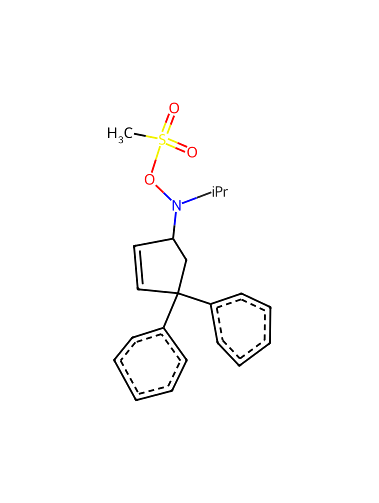 CC(C)N(OS(C)(=O)=O)C1C=CC(c2ccccc2)(c2ccccc2)C1